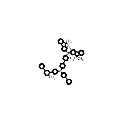 CC1C=CC(c2ccccc2)=CC1c1ccc(N(c2ccc(-c3ccccc3)cc2)c2ccc(-c3ccc(N(c4ccc5c(c4)C(C)(C)c4ccccc4-5)c4ccc5c(c4)C(C)(C)c4ccccc4-5)cc3)cc2)cc1